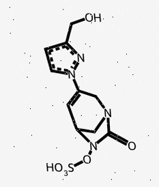 O=C1N2CC(n3ccc(CO)n3)=CC(C2)N1OS(=O)(=O)O